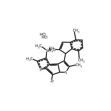 CC1=Cc2c(C)ccc(C)c2C1C1=C(C)SC2[C]([Zr])=c3sc(C)c([SiH](C)C)c3=C12.Cl.Cl